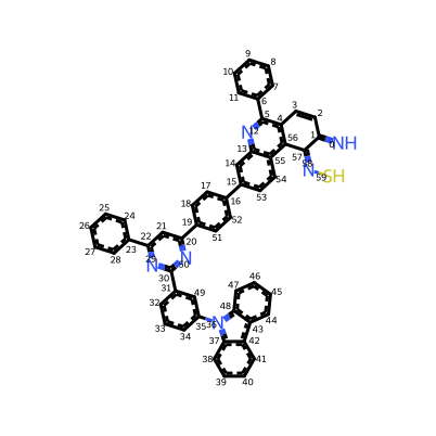 N=C1C=Cc2c(-c3ccccc3)nc3cc(-c4ccc(-c5cc(-c6ccccc6)nc(-c6cccc(-n7c8ccccc8c8ccccc87)c6)n5)cc4)ccc3c2/C1=N/S